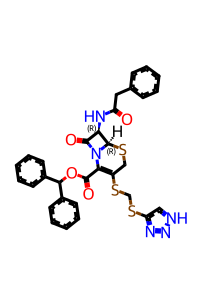 O=C(Cc1ccccc1)N[C@@H]1C(=O)N2C(C(=O)OC(c3ccccc3)c3ccccc3)=C(SCSc3c[nH]nn3)CS[C@H]12